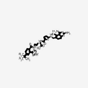 CC(C)(C)c1ccc(C(=O)NCCC[C@H](NC(=O)c2ccc(NCc3ccc4nc(N)nc(N)c4c3Cl)s2)C(=O)O)c(-c2nn[nH]n2)c1